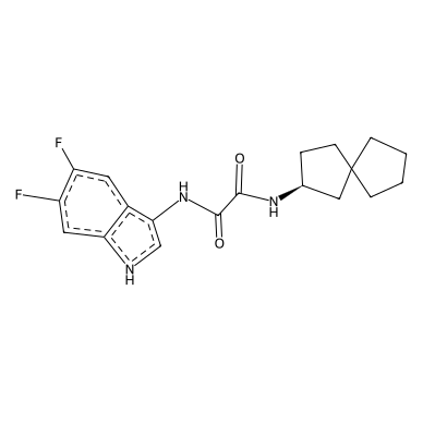 O=C(Nc1c[nH]c2cc(F)c(F)cc12)C(=O)N[C@H]1CCC2(CCCC2)C1